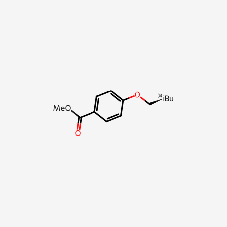 CC[C@H](C)COc1ccc(C(=O)OC)cc1